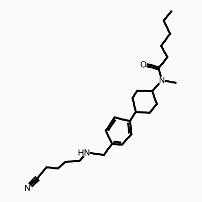 CCCCCC(=O)N(C)C1CCC(c2ccc(CNCCCCC#N)cc2)CC1